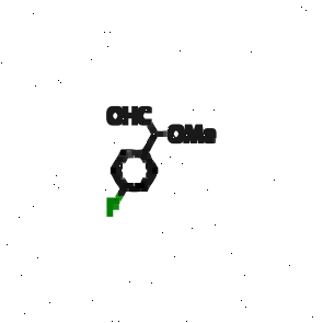 COC(C=O)c1ccc(F)cc1